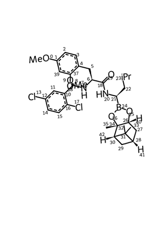 COc1ccc(C[C@H](NC(=O)c2cc(Cl)ccc2Cl)C(=O)N[C@@H](CC(C)C)B2O[C@@H]3C[C@@H]4C[C@@H](C4(C)C)[C@]3(C)O2)c(OC)c1